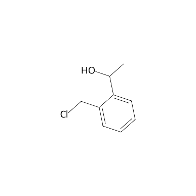 CC(O)c1ccccc1CCl